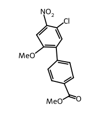 COC(=O)c1ccc(-c2cc(Cl)c([N+](=O)[O-])cc2OC)cc1